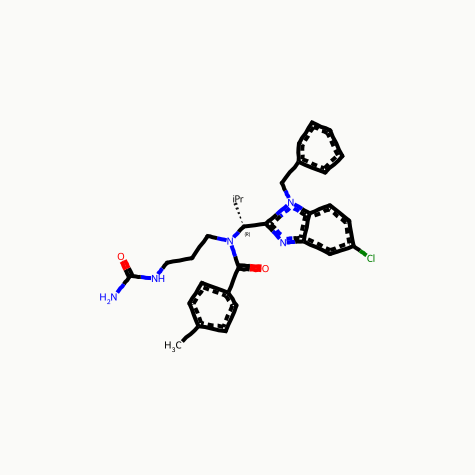 Cc1ccc(C(=O)N(CCCNC(N)=O)[C@@H](c2nc3cc(Cl)ccc3n2Cc2ccccc2)C(C)C)cc1